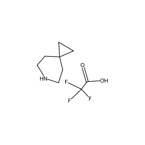 C1CC2(CCN1)CC2.O=C(O)C(F)(F)F